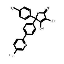 Cc1ccc(-c2ccc(C3(c4ccc([N+](=O)[O-])cc4)OC(=O)C(O)=C3O)cc2)nc1